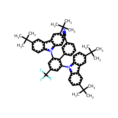 CC(C)(C)c1ccc2c(c1)c1cc(C(C)(C)C)ccc1n2-c1cc(C(F)(F)F)cc(-n2c3ccc(C(C)(C)C)cc3c3cc(C(C)(C)C)ccc32)c1-c1cccc(C#N)c1